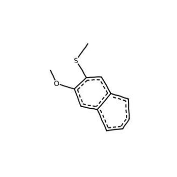 COc1cc2ccccc2cc1SC